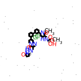 COC(=O)[C@H](CO)NCc1ccc(-c2cccc(-c3cccc(-c4ccn5c(=O)c(CNC[C@@H]6CCC(=O)N6)cnc5c4)c3Cl)c2Cl)nc1OC